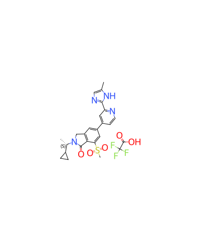 Cc1cnc(-c2cc(-c3cc4c(c(S(C)(=O)=O)c3)C(=O)N([C@@H](C)C3CC3)C4)ccn2)[nH]1.O=C(O)C(F)(F)F